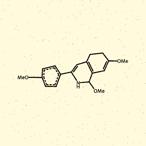 COC1=CC2=C(C=C(c3ccc(OC)cc3)NC2OC)CC1